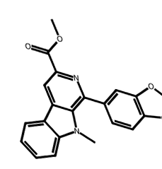 COC(=O)c1cc2c3ccccc3n(C)c2c(-c2ccc3c(c2)OCO3)n1